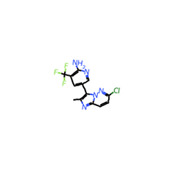 Cc1nc2ccc(Cl)nn2c1-c1cnc(N)c(C(F)(F)F)c1